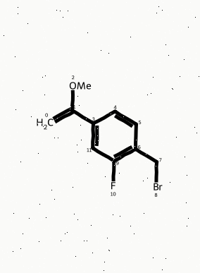 C=C(OC)c1ccc(CBr)c(F)c1